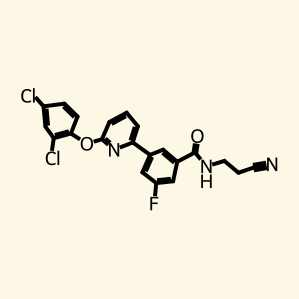 N#CCCNC(=O)c1cc(F)cc(-c2cccc(Oc3ccc(Cl)cc3Cl)n2)c1